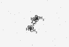 CNS(=O)(=O)CCc1ccc(NS(C)(=O)=O)cc1